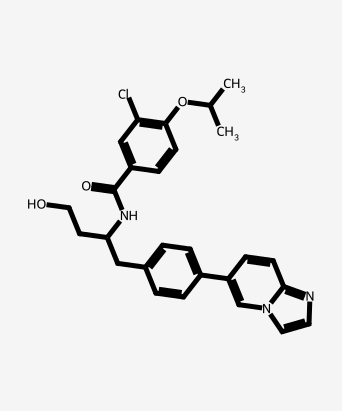 CC(C)Oc1ccc(C(=O)NC(CCO)Cc2ccc(-c3ccc4nccn4c3)cc2)cc1Cl